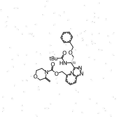 C=C1COCCN1C(=O)OCc1cccc2nnc([C@@H](COCc3ccccc3)NC(=O)C(C)(C)C)n12